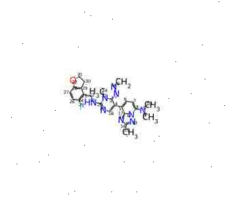 C=N/N=c1/c(-c2ccc(N(C)C)n3nc(C)nc23)cnc(NCc2c(F)ccc3c2CCO3)n1C